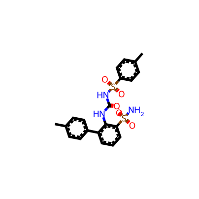 Cc1ccc(-c2cccc(S(N)(=O)=O)c2NC(=O)NS(=O)(=O)c2ccc(C)cc2)cc1